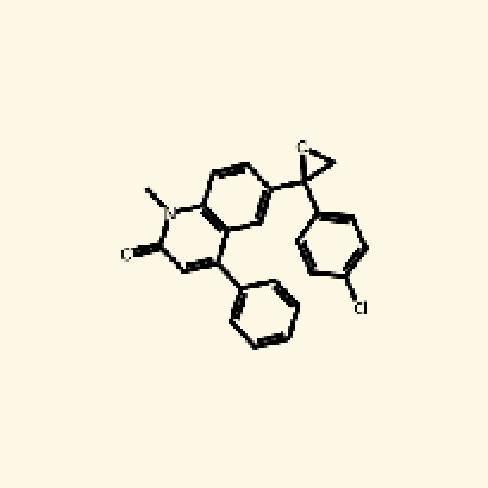 Cn1c(=O)cc(-c2ccccc2)c2cc(C3(c4ccc(Cl)cc4)CO3)ccc21